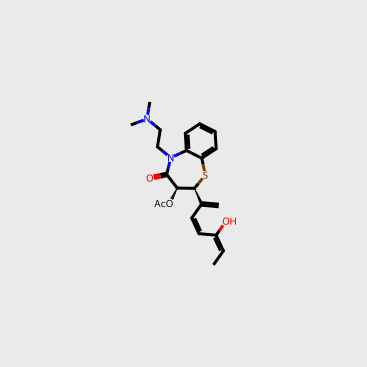 C=C(/C=C\C(O)=C/C)[C@@H]1Sc2ccccc2N(CCN(C)C)C(=O)[C@@H]1OC(C)=O